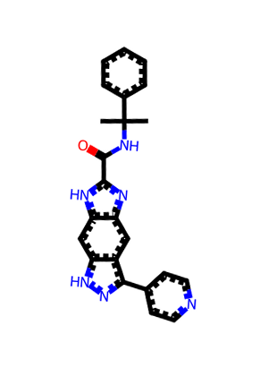 CC(C)(NC(=O)c1nc2cc3c(-c4ccncc4)n[nH]c3cc2[nH]1)c1ccccc1